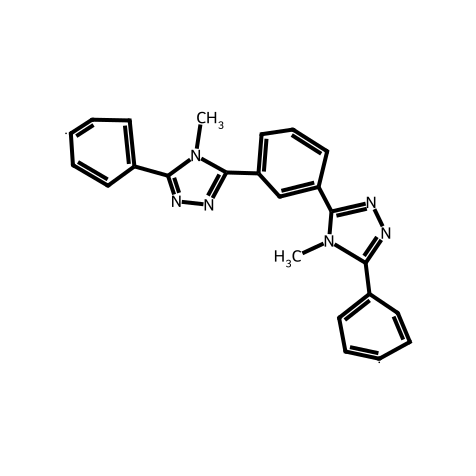 Cn1c(-c2cc[c]cc2)nnc1-c1cccc(-c2nnc(-c3cc[c]cc3)n2C)c1